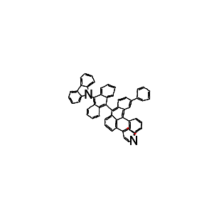 c1ccc(-c2ccc3c(-c4c5ccccc5c(-n5c6ccccc6c6ccccc65)c5ccccc45)c4cccc(-c5ccncc5)c4c(-c4ccccc4)c3c2)cc1